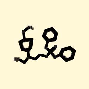 CCN(CCOP(=O)(Oc1ccccc1)Oc1ccccc1)c1ccc(ON)cc1